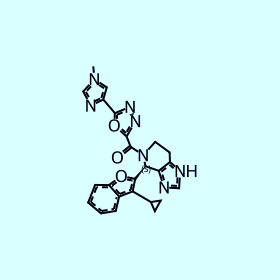 Cn1cnc(-c2nnc(C(=O)N3CCc4[nH]cnc4[C@H]3c3oc4ccccc4c3C3CC3)o2)c1